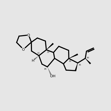 C=C[C@@H](C)[C@H]1CCC2C3C(CC[C@@]21C)[C@@]1(C)CCC2(C[C@@H]1C[C@H]3O)OCCO2